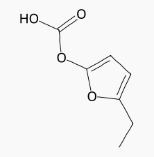 CCc1ccc(OC(=O)O)o1